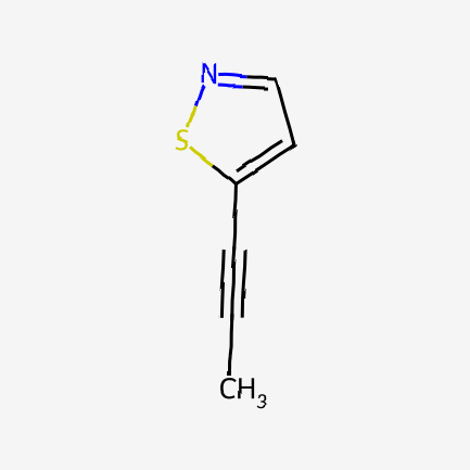 CC#Cc1ccns1